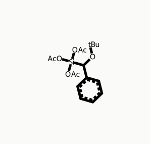 CC(=O)O[Si](OC(C)=O)(OC(C)=O)C(OC(C)(C)C)c1ccccc1